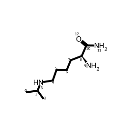 CC(C)NCCCC[C@H](N)C(N)=O